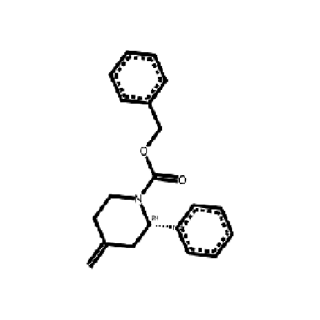 C=C1CCN(C(=O)OCc2ccccc2)[C@H](c2ccccc2)C1